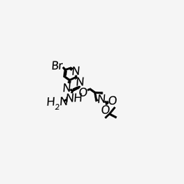 CC(C)(C)OC(=O)N1CC(COc2nc3ncc(Br)cc3nc2NN)C1